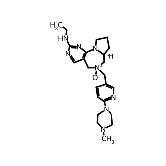 CCNc1ncc2c(n1)N1CCC[C@H]1C[N+]([O-])(Cc1ccc(N3CCN(C)CC3)nc1)C2